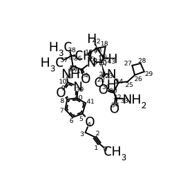 CC#CCOc1ccc2oc(N[C@H](C(=O)N3C[C@@H]4C[C@@H]4[C@H]3C(=O)NC(CC3CCC3)C(=O)C(N)=O)C(C)(C)C)nc2c1